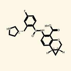 COC(=O)c1c(N[S+]([O-])c2ccc(F)cc2C[C@@H]2CCNC2)ccc2c1OC[C@@H]1C[C@H]21